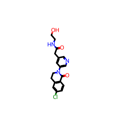 O=C(Cc1cncc(N2CCc3cc(Cl)ccc3C2=O)c1)NCCO